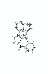 CN(c1ncccc1C#N)[C@@H]1CCN(c2ncnc3[nH]ccc23)C1